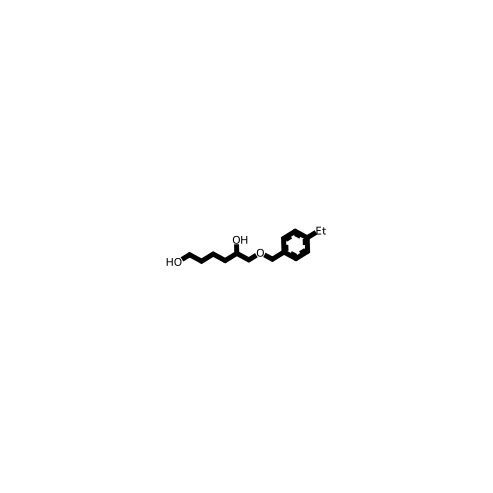 CCc1ccc(COCC(O)CCCCO)cc1